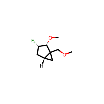 COCC12C[C@@H]1C[C@H](F)[C@@H]2OC